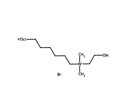 CCCCCCCCCCCCCC[N+](C)(C)CCO.[Br-]